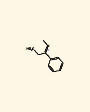 C/N=C(\CC(=O)O)c1ccccc1